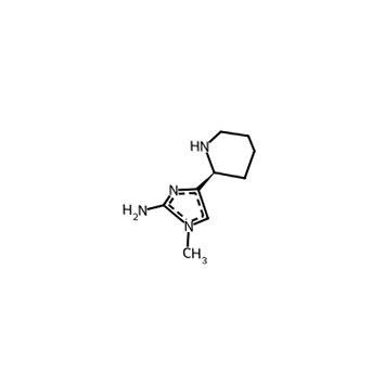 Cn1cc([C@@H]2CCCCN2)nc1N